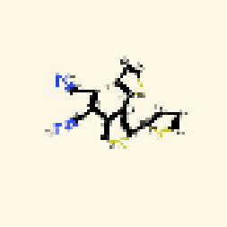 N#CC=C(C#N)c1csc(-c2cccs2)c1-c1cccs1